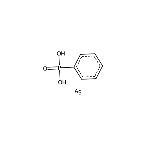 O=P(O)(O)c1ccccc1.[Ag]